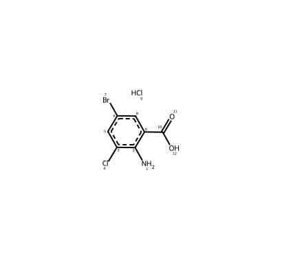 Cl.Nc1c(Cl)cc(Br)cc1C(=O)O